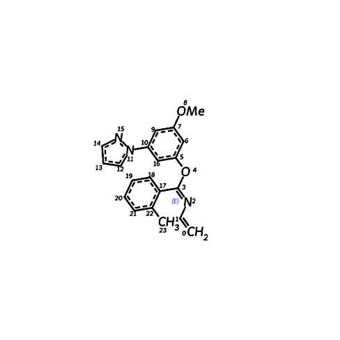 C=C/N=C(/Oc1cc(OC)cc(-n2cccn2)c1)c1ccccc1C